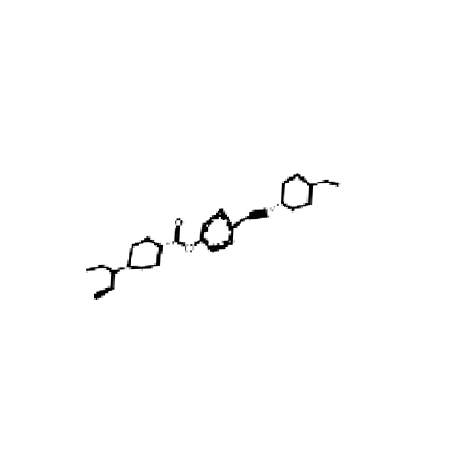 C=CC(CC)[C@H]1CC[C@H](C(=O)Oc2ccc(C#C[C@H]3CC[C@H](CC)CC3)cc2)CC1